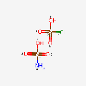 NS(=O)(=O)O.O=S(=O)(O)Cl